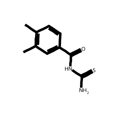 Cc1ccc(C(=O)NC(N)=S)cc1C